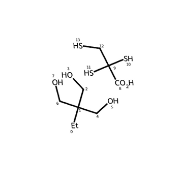 CCC(CO)(CO)CO.O=C(O)C(S)(S)CS